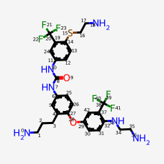 NCCCc1cc(NC(=O)Nc2ccc(SCCN)c(C(F)(F)F)c2)ccc1Oc1ccc(NCCN)c(C(F)(F)F)c1